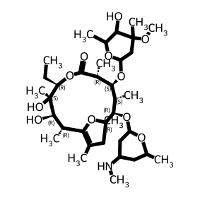 CC[C@H]1OC(=O)[C@H](C)[C@@H](OC2CC(C)(OC)C(O)C(C)O2)[C@H](C)[C@@H](OC2CC(NC)CC(C)O2)[C@@]2(C)CC(C)=C(O2)[C@H](C)[C@@H](O)[C@]1(C)O